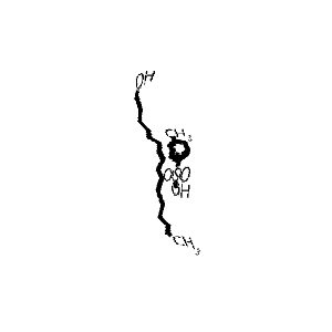 CCCCCCCCCCCCCCCCO.Cc1ccc(S(=O)(=O)O)cc1